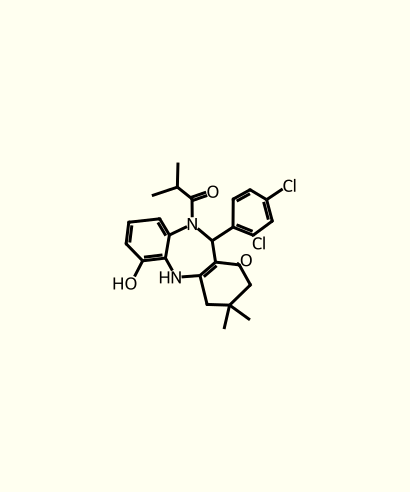 CC(C)C(=O)N1c2cccc(O)c2NC2=C(C(=O)CC(C)(C)C2)C1c1ccc(Cl)cc1Cl